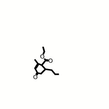 CCCC1CC(=O)C=C(C)C1C(=O)OCC